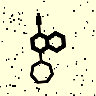 N#Cc1ccc(N2CCCCCC2)c2ccccc12